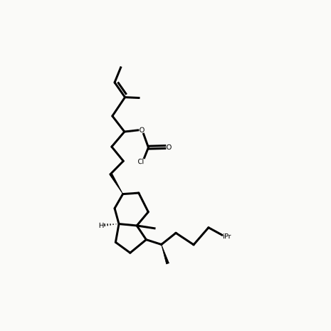 C/C=C(\C)CC(CCC[C@H]1CCC2(C)C([C@H](C)CCCC(C)C)CC[C@H]2C1)OC(=O)Cl